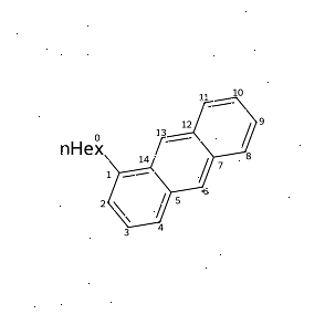 CCCCCCc1cccc2[c]c3ccccc3cc12